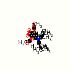 COc1ccc(Oc2cc3c4c(cc(Oc5ccc(OC)cc5)c5c6ccc(N(c7ccc(C(C)(C)CC(C)(C)C)cc7)c7ccc(C(C)(C)CC(C)(C)C)cc7)c7cccc(c2c45)c76)C(=O)OC3=O)cc1